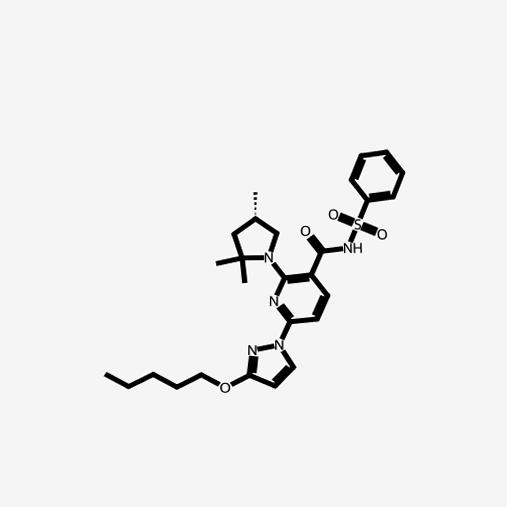 CCCCCOc1ccn(-c2ccc(C(=O)NS(=O)(=O)c3ccccc3)c(N3C[C@@H](C)CC3(C)C)n2)n1